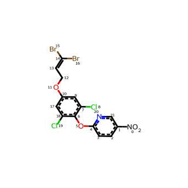 O=[N+]([O-])c1ccc(Oc2c(Cl)cc(OCC=C(Br)Br)cc2Cl)nc1